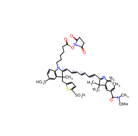 C=C1N=C(/C=C/C=C/C=C/C=C2/N(CCCCCC(=O)ON3C(=O)CCC3=O)c3ccc(S(=O)(=O)O)cc3C2(C)Cc2ccc(S(=O)(=O)O)s2)C(C)(C)/C1=C/C(=C\C)C(=O)N(C)OC